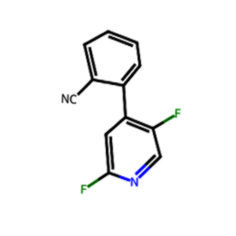 N#Cc1ccccc1-c1cc(F)ncc1F